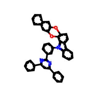 c1ccc(-c2cc(-c3ccccc3)nc(-c3cccc(-n4c5ccccc5c5ccc6c(c54)Oc4cc5ccccc5cc4O6)c3)n2)cc1